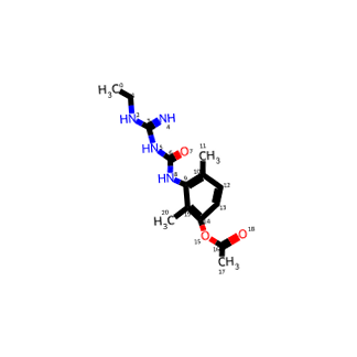 CCNC(=N)NC(=O)Nc1c(C)ccc(OC(C)=O)c1C